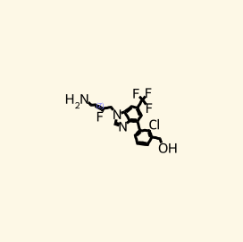 NC/C=C(\F)Cn1cnc2c(-c3cccc(CO)c3Cl)cc(C(F)(F)F)cc21